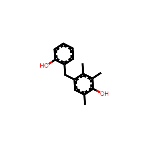 Cc1cc(Cc2ccccc2O)c(C)c(C)c1O